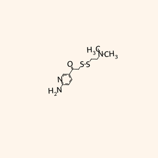 CN(C)CCSSCC(=O)c1ccc(N)nc1